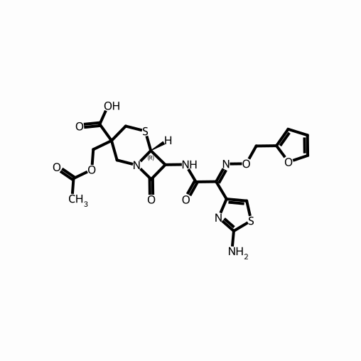 CC(=O)OCC1(C(=O)O)CS[C@@H]2C(NC(=O)C(=NOCc3ccco3)c3csc(N)n3)C(=O)N2C1